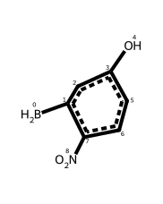 Bc1cc(O)ccc1[N+](=O)[O-]